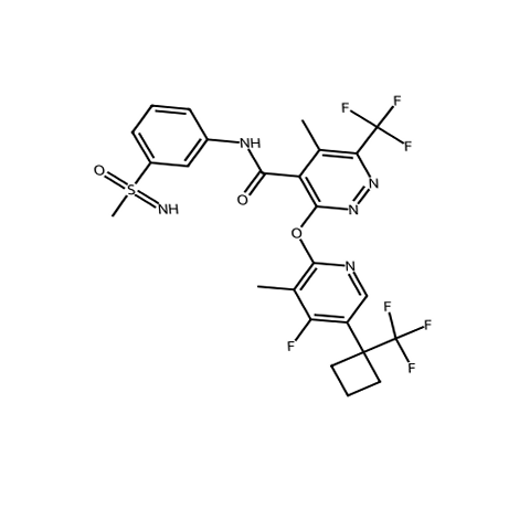 Cc1c(Oc2nnc(C(F)(F)F)c(C)c2C(=O)Nc2cccc(S(C)(=N)=O)c2)ncc(C2(C(F)(F)F)CCC2)c1F